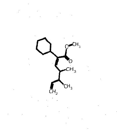 C=CC(C)C(C)C=C(C(=O)OC)C1CCCCC1